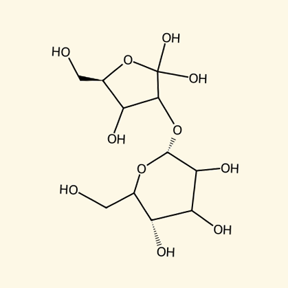 OCC1O[C@H](OC2C(O)[C@@H](CO)OC2(O)O)C(O)C(O)[C@@H]1O